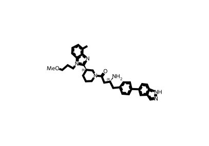 COCCCn1c([C@@H]2CCCN(C(=O)C[C@H](N)Cc3ccc(-c4ccc5[nH]ncc5c4)cc3)C2)nc2c(C)cccc21